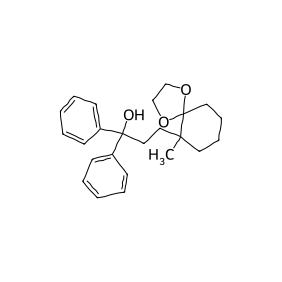 CC1(CCC(O)(c2ccccc2)c2ccccc2)CCCCC12OCCO2